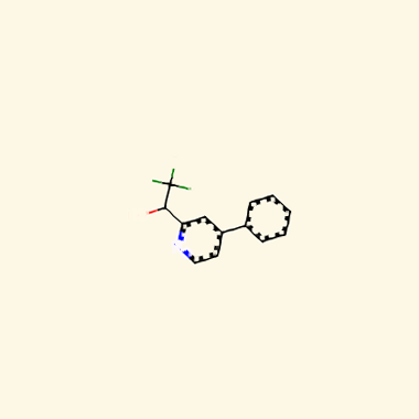 OC(c1cc(-c2ccccc2)ccn1)C(F)(F)F